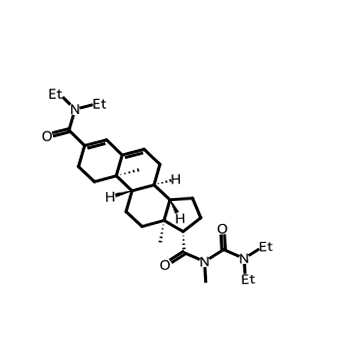 CCN(CC)C(=O)C1=CC2=CC[C@H]3[C@@H]4CC[C@H](C(=O)N(C)C(=O)N(CC)CC)[C@@]4(C)CC[C@@H]3[C@@]2(C)CC1